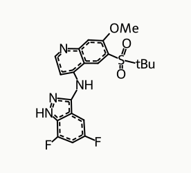 COc1cc2nccc(Nc3n[nH]c4c(F)cc(F)cc34)c2cc1S(=O)(=O)C(C)(C)C